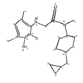 Cc1cc(C)c(NCC(=O)N(C)C2CCN(CC3CC3)CC2)c(C)c1N